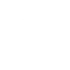 CS(=O)(=O)c1cc(C(=O)O)ccc1Cl